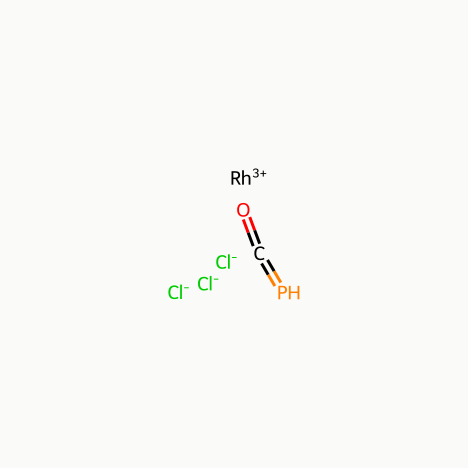 O=C=P.[Cl-].[Cl-].[Cl-].[Rh+3]